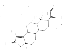 C=CC(=C)C1CCC2C3CCC4(F)CC(=C)C(C(C)C)=C4C3CCC2C1(C)CCC